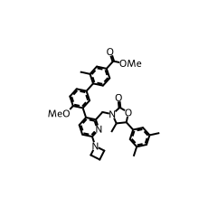 COC(=O)c1ccc(-c2ccc(OC)c(-c3ccc(N4CCC4)nc3CN3C(=O)OC(c4cc(C)cc(C)c4)C3C)c2)c(C)c1